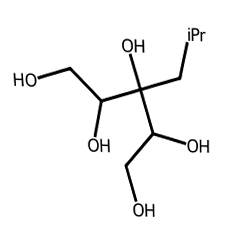 CC(C)CC(O)(C(O)CO)C(O)CO